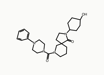 O=C(N1CCN(c2ccccc2)CC1)N1CCCC2(CCN(C3CCC(O)CC3)C2=O)C1